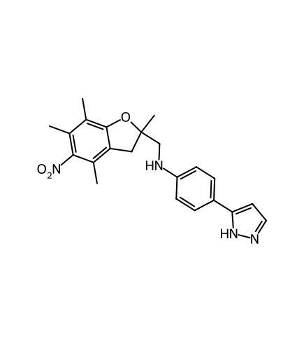 Cc1c(C)c([N+](=O)[O-])c(C)c2c1OC(C)(CNc1ccc(-c3ccn[nH]3)cc1)C2